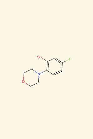 Fc1ccc(N2CCOCC2)c(Br)c1